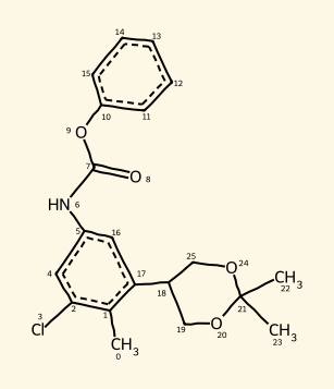 Cc1c(Cl)cc(NC(=O)Oc2ccccc2)cc1C1COC(C)(C)OC1